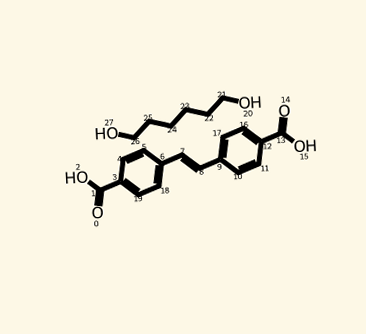 O=C(O)c1ccc(/C=C/c2ccc(C(=O)O)cc2)cc1.OCCCCCCO